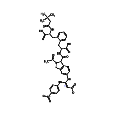 CC(=O)N1Cc2cc(N/C(=C\[N+](=O)[O-])Nc3ccc([N+](=O)[O-])cc3)ccc2C1C(=O)NC(Cc1ccccc1CC(NC(=O)CC(C)(C)C)C(=O)O)C(=O)O